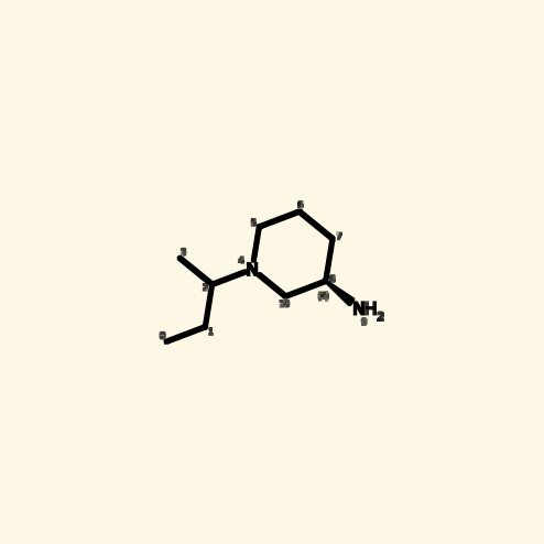 CCC(C)N1CCC[C@@H](N)C1